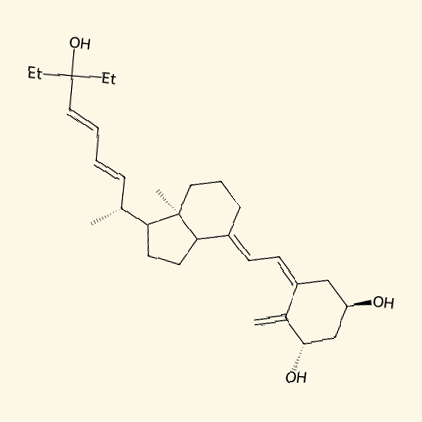 C=C1/C(=C\C=C2/CCC[C@@]3(C)C2CCC3[C@H](C)/C=C/C=C/C(O)(CC)CC)C[C@@H](O)C[C@@H]1O